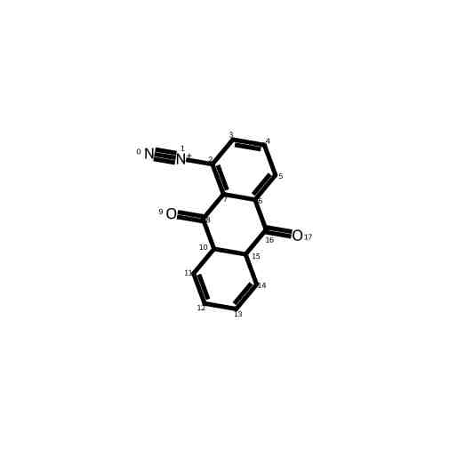 N#[N+]c1cccc2c1C(=O)C1C=CC=CC1C2=O